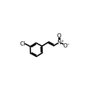 O=[N+]([O-])/C=C/c1cccc(Cl)c1